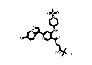 CC(C)(O)[C@H](F)CNC(=O)c1cnc(-c2cnn3cc(Cl)cnc23)cc1NC1CCN(S(C)(=O)=O)CC1